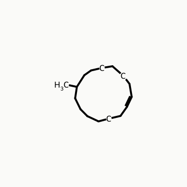 CC1CCCCCCC=CCCCCCC1